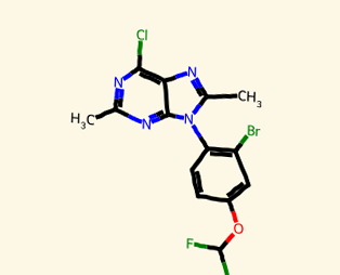 Cc1nc(Cl)c2nc(C)n(-c3ccc(OC(F)F)cc3Br)c2n1